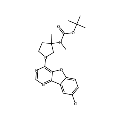 CN(C(=O)OC(C)(C)C)C1(C)CCN(c2ncnc3c2oc2ccc(Cl)cc23)C1